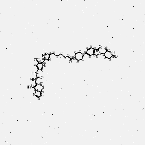 CC(C)c1c(NC(=O)Nc2cnc(-c3noc(CCCCCC(=O)N4CCN(c5ccc6c(c5)CN(C5CCC(=O)NC5=O)C6=O)CC4)n3)c(Cl)c2)cnc2ccnn12